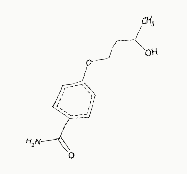 CC(O)CCOc1ccc(C(N)=O)cc1